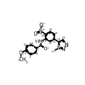 COc1ccc(C(=O)Nc2cc(-c3cnnn3I)ccc2[N+](=O)[O-])cc1